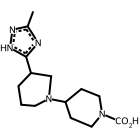 Cc1n[nH]c(C2CCCN(C3CCN(C(=O)O)CC3)C2)n1